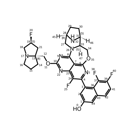 Oc1cc(-c2nc3c4c(nc(OC[C@]56CCCN5C[C@@H](F)C6)nc4c2F)N2C[C@H]4CC[C@H](N4)[C@H]2CO3)c2c(F)c(F)ccc2c1